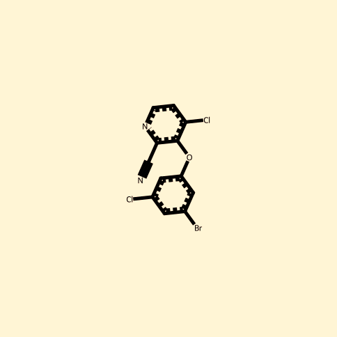 N#Cc1nccc(Cl)c1Oc1cc(Cl)cc(Br)c1